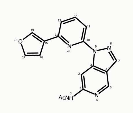 CC(=O)Nc1cc2c(cn1)cnn2-c1cccc(-c2ccoc2)n1